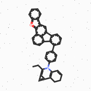 CCC1=C2C=C2C2=C(C=CCC2)N1c1ccc(-c2cccc3c2-c2cccc4c2c-3cc2c3ccccc3oc42)cc1